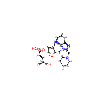 Cc1ccoc1Cn1c(CN2CCNCC2)nc2cccnc21.O=C(O)C=CC(=O)O